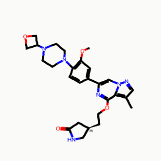 COc1cc(-c2cn3ncc(C)c3c(OCC[C@H]3CNC(=O)C3)n2)ccc1N1CCN(C2COC2)CC1